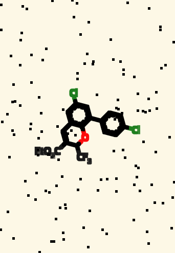 CCOC(=O)C1=Cc2cc(Cl)cc(-c3ccc(Cl)cc3)c2OC1C(F)(F)F